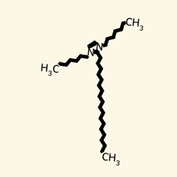 CCCCCCCCCCCCCCCCCCCc1n(CCCCCCC)cc[n+]1CCCCCCC